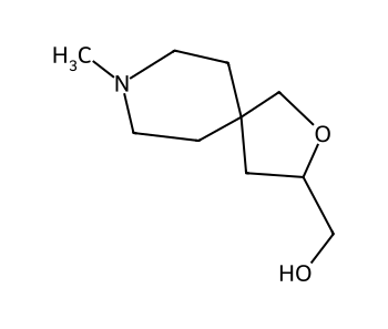 CN1CCC2(CC1)COC(CO)C2